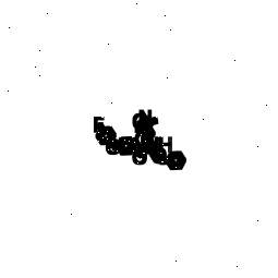 Cc1noc(C)c1CC(=O)N[C@@H](COCc1ccccc1)C(=O)Nc1ccc(Oc2ccc(F)cc2)cc1